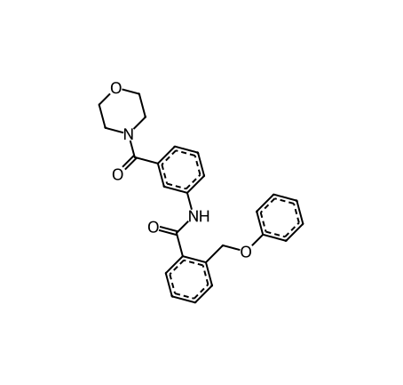 O=C(Nc1cccc(C(=O)N2CCOCC2)c1)c1ccccc1COc1ccccc1